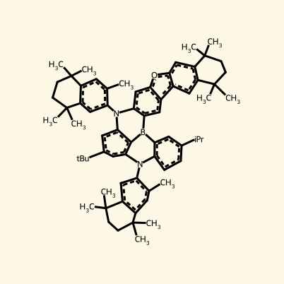 Cc1cc2c(cc1N1c3ccc(C(C)C)cc3B3c4cc5c(cc4N(c4cc6c(cc4C)C(C)(C)CCC6(C)C)c4cc(C(C)(C)C)cc1c43)oc1cc3c(cc15)C(C)(C)CCC3(C)C)C(C)(C)CCC2(C)C